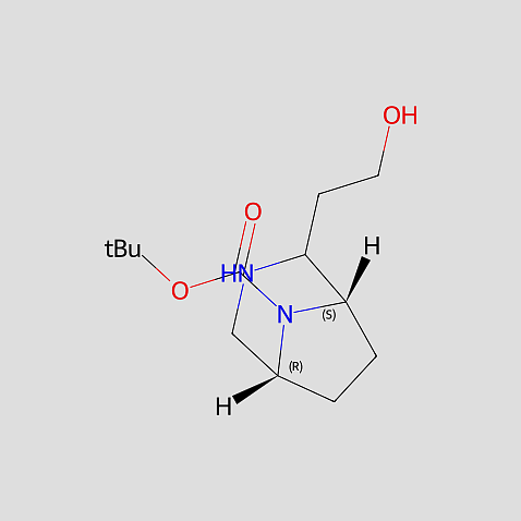 CC(C)(C)OC(=O)N1[C@@H]2CC[C@H]1C(CCO)NC2